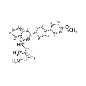 COc1ccc(-c2ccc(-c3cc4ncccc4c(NCC(C)(C)CN)n3)cc2)cc1